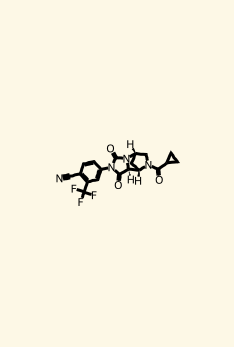 N#Cc1ccc(N2C(=O)[C@@H]3[C@@H]4C[C@@H](CN4C(=O)C4CC4)N3C2=O)cc1C(F)(F)F